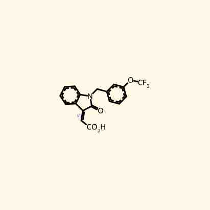 O=C(O)/C=C1\C(=O)N(Cc2cccc(OC(F)(F)F)c2)c2ccccc21